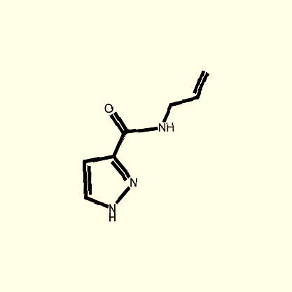 C=CCNC(=O)c1cc[nH]n1